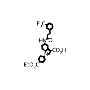 CCOC(=O)c1ccc(-n2cc(C(=O)O)c3cc(NC(=O)CCc4cccc(C(F)(F)F)c4)ccc32)cc1